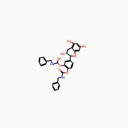 O=C(NCc1ccccc1)Oc1ccc(C2Oc3cc(O)cc(O)c3C[C@H]2O)cc1OC(O)NCc1ccccc1